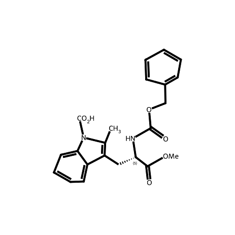 COC(=O)[C@H](Cc1c(C)n(C(=O)O)c2ccccc12)NC(=O)OCc1ccccc1